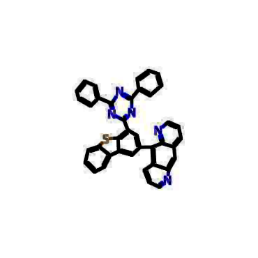 c1ccc(-c2nc(-c3ccccc3)nc(-c3cc(-c4c5cccnc5cc5cccnc45)cc4c3sc3ccccc34)n2)cc1